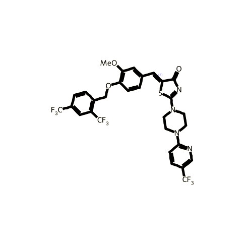 COc1cc(/C=C2\SC(N3CCN(c4ccc(C(F)(F)F)cn4)CC3)=NC2=O)ccc1OCc1ccc(C(F)(F)F)cc1C(F)(F)F